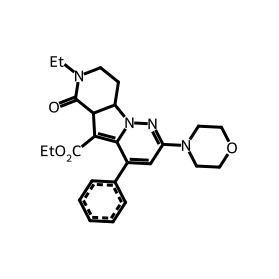 CCOC(=O)C1=C2C(c3ccccc3)=CC(N3CCOCC3)=NN2C2CCN(CC)C(=O)C12